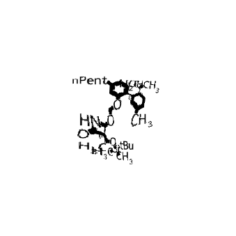 C=C(C)[C@@H]1CCC(C)=C[C@H]1c1c(O)cc(CCCCC)cc1OCOC1NC(=O)[C@@H]1[C@@H](C)O[Si](C)(C)C(C)(C)C